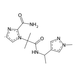 CC(NC(=O)C(C)(C)n1c[c]nc1C(N)=O)c1cnn(C)c1